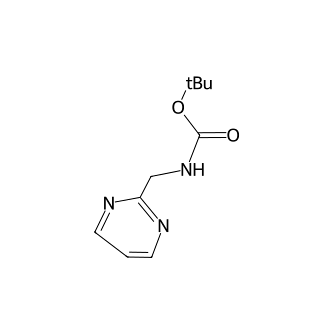 CC(C)(C)OC(=O)NCc1ncccn1